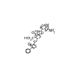 CON=C(C(=O)NC1C(=O)N2C(C(=O)O)=C(CSc3scc(-c4ccccc4)[n+]3[O-])CS[C@@H]12)c1csc(N)n1